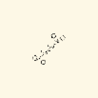 C[N+](CCOC(=O)OCOC(=O)CCC[N+]1(Cc2ccccc2)CCCCC1)(Cc1ccccc1)Cc1ccccc1